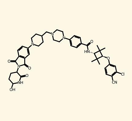 CC1(C)[C@H](NC(=O)c2ccc(N3CCN(CC4CCN(c5ccc6c(c5)C(=O)N(C5CCC(O)NC5=O)C6=O)CC4)CC3)cc2)C(C)(C)[C@H]1Oc1ccc(C#N)c(Cl)c1